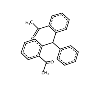 CC(=O)c1ccccc1C(c1ccccc1)c1ccccc1C(C)=O